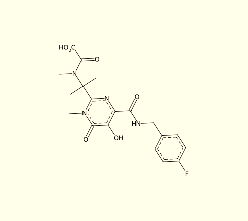 CN(C(=O)C(=O)O)C(C)(C)c1nc(C(=O)NCc2ccc(F)cc2)c(O)c(=O)n1C